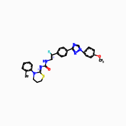 CC(C)c1ccccc1N1CCCS/C1=N\C(=O)N/C=C(\F)c1ccc(-c2ncn(-c3ccc(OC(F)(F)F)cc3)n2)cc1